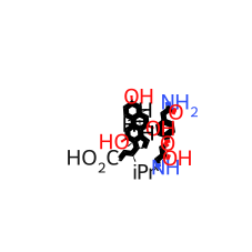 CC(C)NCC(O)COc1ccc(CC(N)=O)cc1.C[C@H](CCC(=O)O)[C@H]1CC[C@H]2[C@@H]3[C@H](O)C[C@@H]4C[C@H](O)CC[C@]4(C)[C@H]3C[C@H](O)[C@]12C